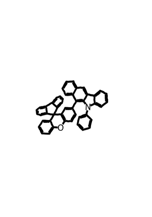 c1ccc(-n2c3ccccc3c3cc4ccccc4c(-c4ccc5c(c4)C4(c6ccccc6O5)c5ccccc5-c5ccccc54)c32)cc1